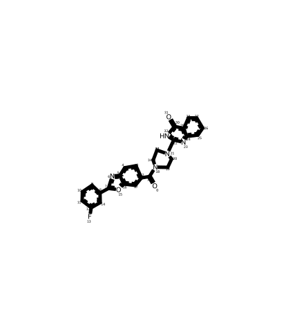 O=C(c1ccc2nc(-c3cccc(F)c3)oc2c1)N1CCN(c2nc3ccccc3c(=O)[nH]2)CC1